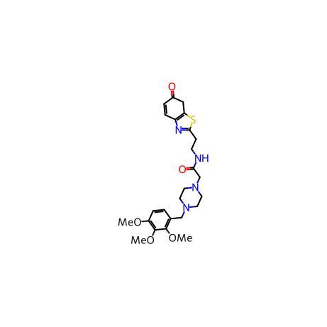 COc1ccc(CN2CCN(CC(=O)NCCc3nc4c(s3)CC(=O)C=C4)CC2)c(OC)c1OC